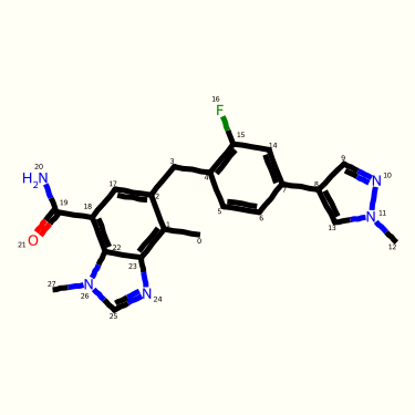 Cc1c(Cc2ccc(-c3cnn(C)c3)cc2F)cc(C(N)=O)c2c1ncn2C